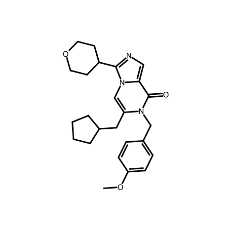 COc1ccc(Cn2c(CC3CCCC3)cn3c(C4CCOCC4)ncc3c2=O)cc1